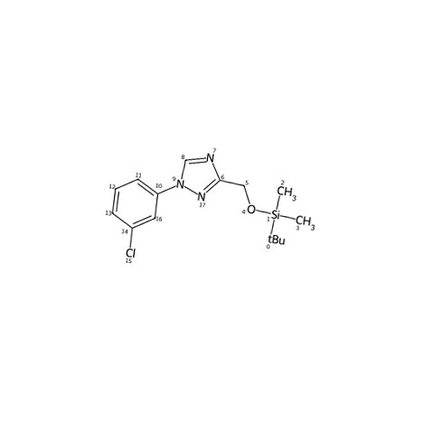 CC(C)(C)[Si](C)(C)OCc1ncn(-c2cccc(Cl)c2)n1